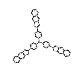 C1=C(c2ccc(N(c3ccc(C4=Cc5cc6ccccc6cc5C4)cc3)c3ccc(C4=Cc5cc6ccccc6cc5C4)cc3)cc2)Cc2cc3ccccc3cc21